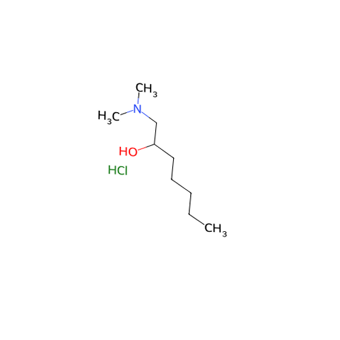 CCCCCC(O)CN(C)C.Cl